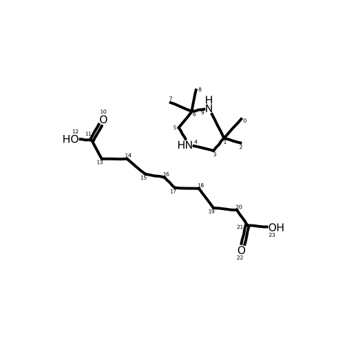 CC1(C)CNCC(C)(C)N1.O=C(O)CCCCCCCCC(=O)O